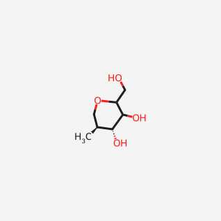 C[C@H]1COC(CO)C(O)[C@@H]1O